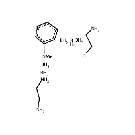 B.B.B.B.B.CNc1ccccc1.NCCN.NCCN